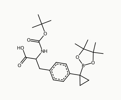 CC(C)(C)OC(=O)NC(Cc1ccc(C2(B3OC(C)(C)C(C)(C)O3)CC2)cc1)C(=O)O